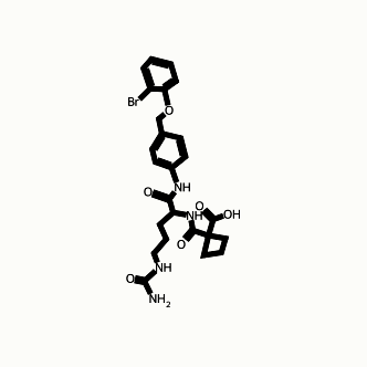 NC(=O)NCCCC(NC(=O)C1(C(=O)O)CCC1)C(=O)Nc1ccc(COc2ccccc2Br)cc1